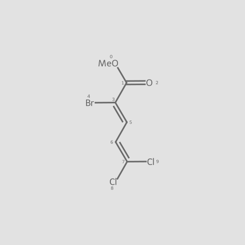 COC(=O)C(Br)=CC=C(Cl)Cl